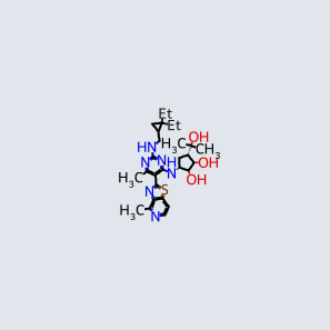 CCC1(CC)CC1CNc1nc(C)c(-c2nc3c(C)nccc3s2)c(N[C@@H]2C[C@H](C(C)(C)O)[C@@H](O)[C@H]2O)n1